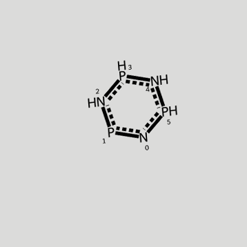 n1p[nH][pH][nH][pH]1